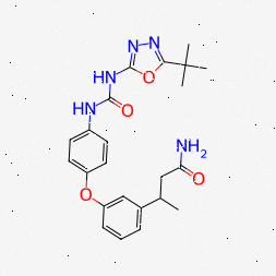 CC(CC(N)=O)c1cccc(Oc2ccc(NC(=O)Nc3nnc(C(C)(C)C)o3)cc2)c1